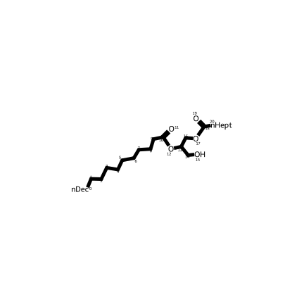 CCCCCCCCCCCCCCCCCCCC(=O)OC(CO)COC(=O)CCCCCCC